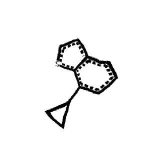 c1cc(C2CC2)c2sccc2c1